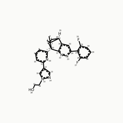 CC1(C)[C@H]2CC[C@]1(c1cccc(-c3cnn(CCO)c3)n1)c1nnc(-c3c(F)cccc3F)cc12